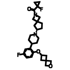 O=C(N1CC2(CC[C@H](N3CCC(c4cc(F)ccc4OC4CC5(COC5)C4)CC3)C2)C1)C1(F)CC1